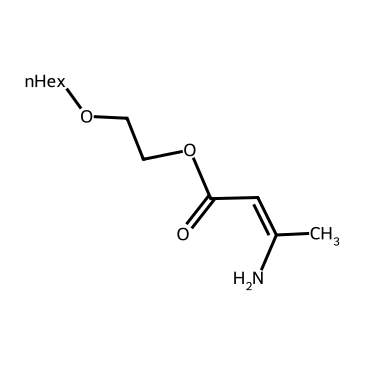 CCCCCCOCCOC(=O)/C=C(/C)N